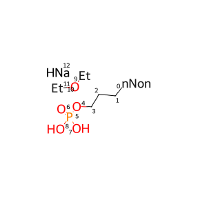 CCCCCCCCCCCCOP(=O)(O)O.CCOCC.[NaH]